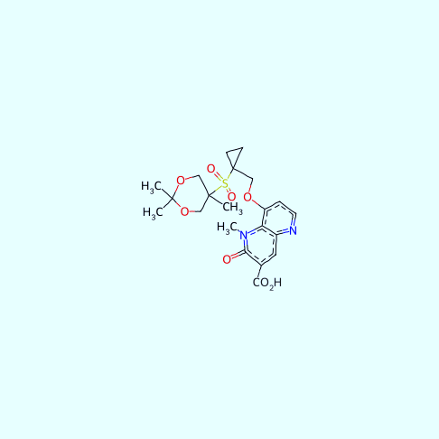 Cn1c(=O)c(C(=O)O)cc2nccc(OCC3(S(=O)(=O)C4(C)COC(C)(C)OC4)CC3)c21